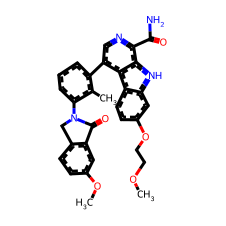 COCCOc1ccc2c(c1)[nH]c1c(C(N)=O)ncc(-c3cccc(N4Cc5ccc(OC)cc5C4=O)c3C)c12